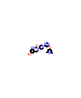 COc1ccc2c(c1)CCN(C1CCN(c3cc(Oc4cc(C)nc(C)c4)ncn3)CC1)C(=O)N2